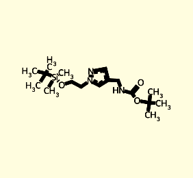 CC(C)(C)OC(=O)NCc1cnn(CCO[Si](C)(C)C(C)(C)C)c1